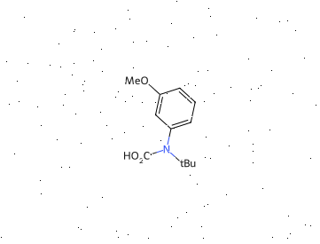 COc1cccc(N(C(=O)O)C(C)(C)C)c1